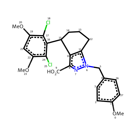 COc1ccc(Cn2nc(C(=O)O)c3c2CCCC3c2c(Cl)c(OC)cc(OC)c2Cl)cc1